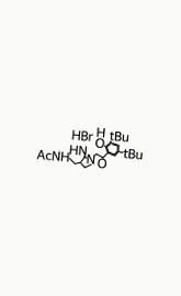 Br.CC(=O)NCCC1CCN(CC(=O)c2cc(C(C)(C)C)cc(C(C)(C)C)c2O)C1=N